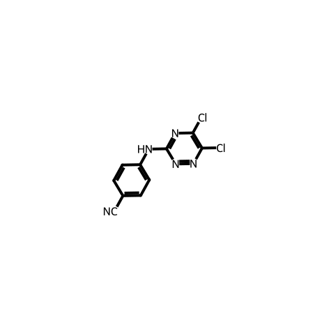 N#Cc1ccc(Nc2nnc(Cl)c(Cl)n2)cc1